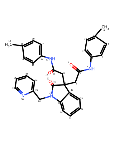 Cc1ccc(NC(=O)CC2(CC(=O)Nc3ccc(C)cc3)C(=O)N(Cc3ccccn3)c3ccccc32)cc1